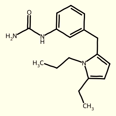 CCCn1c(CC)ccc1Cc1cccc(NC(N)=O)c1